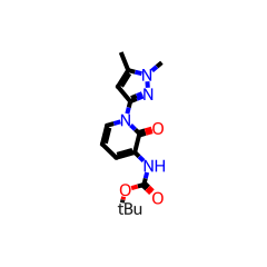 Cc1cc(-n2cccc(NC(=O)OC(C)(C)C)c2=O)nn1C